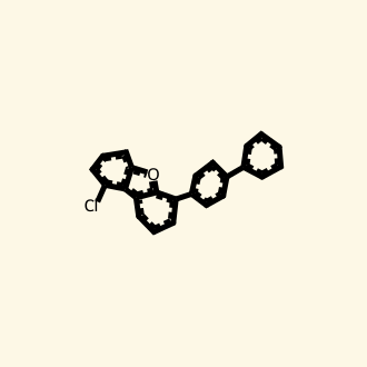 Clc1cccc2oc3c(-c4ccc(-c5ccccc5)cc4)cccc3c12